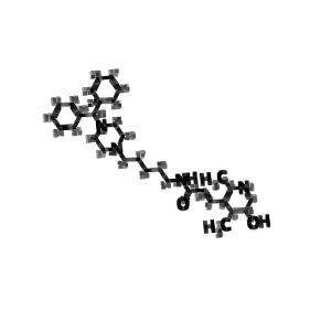 Cc1ncc(O)c(C)c1C=CC(=O)NCCCCCN1CCN(C(c2ccccc2)c2ccccc2)CC1